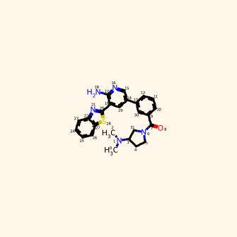 CN(C)C1CCN(C(=O)c2cccc(-c3cnc(N)c(-c4nc5ccccc5s4)c3)c2)C1